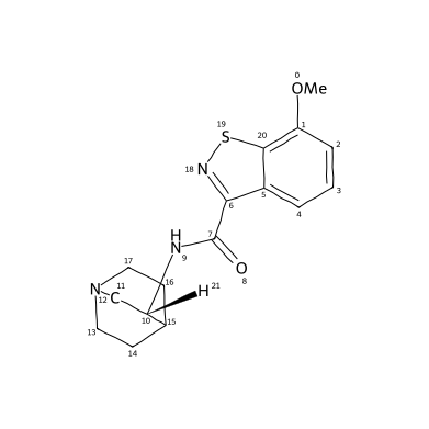 COc1cccc2c(C(=O)N[C@H]3CN4CCC3CC4)nsc12